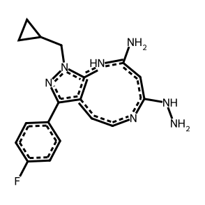 NNc1cc(N)[nH]c2c(ccn1)c(-c1ccc(F)cc1)nn2CC1CC1